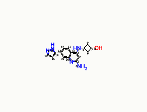 Nc1cc(N[C@H]2C[C@@H](O)C2)c2ccc(-c3ccn[nH]3)cc2n1